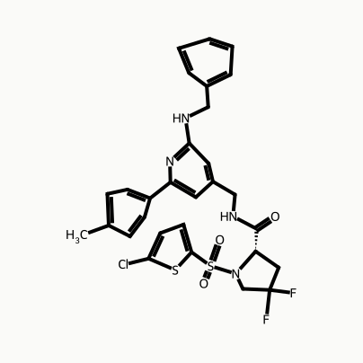 Cc1ccc(-c2cc(CNC(=O)[C@@H]3CC(F)(F)CN3S(=O)(=O)c3ccc(Cl)s3)cc(NCc3ccccc3)n2)cc1